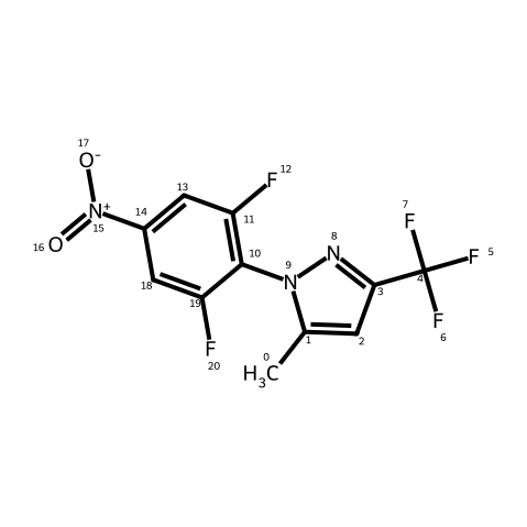 Cc1cc(C(F)(F)F)nn1-c1c(F)cc([N+](=O)[O-])cc1F